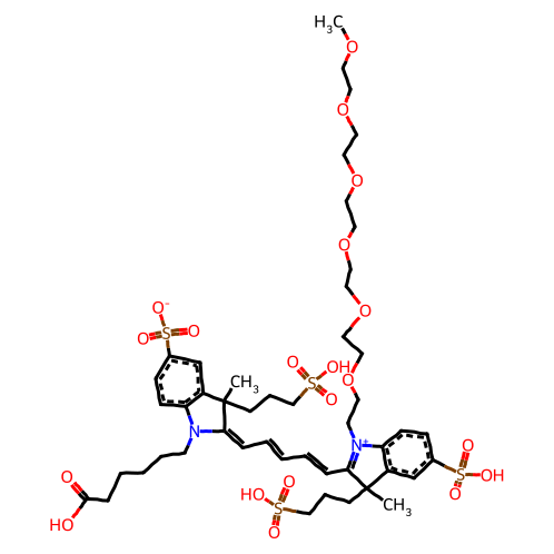 COCCOCCOCCOCCOCCOCC[N+]1=C(/C=C/C=C/C=C2/N(CCCCCC(=O)O)c3ccc(S(=O)(=O)[O-])cc3C2(C)CCCS(=O)(=O)O)C(C)(CCCS(=O)(=O)O)c2cc(S(=O)(=O)O)ccc21